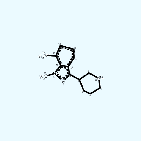 Cn1nc(C2CCCNC2)c2cccc(N)c21